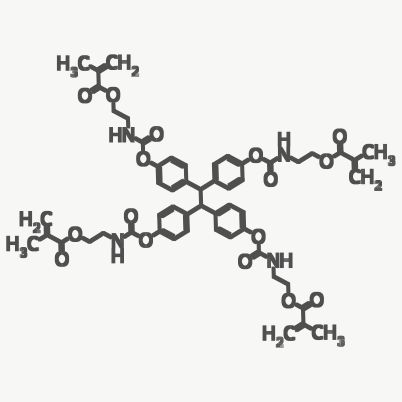 C=C(C)C(=O)OCCNC(=O)Oc1ccc(C(c2ccc(OC(=O)NCCOC(=O)C(=C)C)cc2)C(c2ccc(OC(=O)NCCOC(=O)C(=C)C)cc2)c2ccc(OC(=O)NCCOC(=O)C(=C)C)cc2)cc1